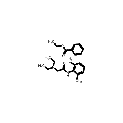 CCN(CC)CC(=O)Nc1c(C)cccc1C.CCOC(=O)c1ccccc1